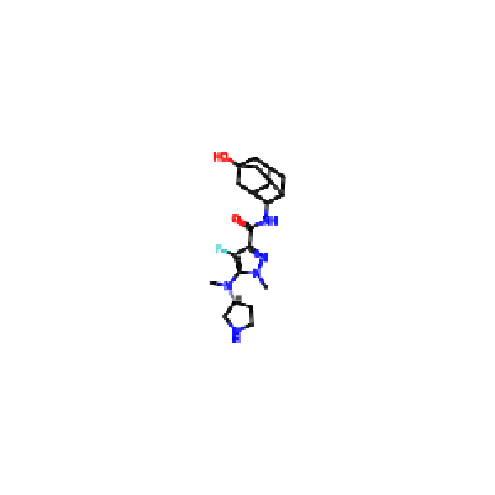 CN(c1c(F)c(C(=O)NC2C3CC4CC2CC(O)(C4)C3)nn1C)[C@@H]1CCNC1